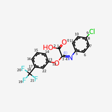 O=C(O)/C(=N\c1ccc(Cl)cc1)Oc1cccc(C(F)(F)F)c1